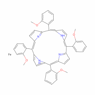 COc1ccccc1-c1c2nc(c(-c3ccccc3OC)c3ccc([nH]3)c(-c3ccccc3OC)c3nc(c(-c4ccccc4OC)c4ccc1[nH]4)C=C3)C=C2.[Fe]